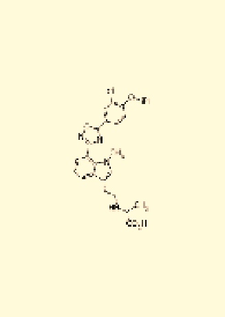 CC(C)Oc1ccc(-c2nc(-c3cccc4c(CCN[C@@H](C)C(=O)O)cn(C)c34)no2)cc1Cl